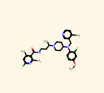 COc1ccc(N(Cc2cnccc2C)C2CCN(C(C)CCNC(=O)c3c(C)cc(F)nc3C)CC2)c(F)c1